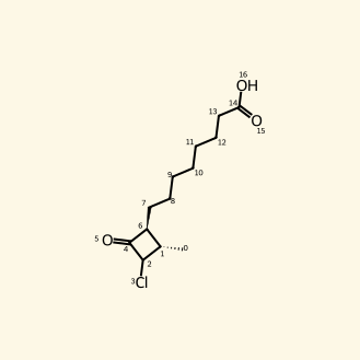 C[C@@H]1C(Cl)C(=O)[C@H]1CCCCCCCC(=O)O